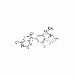 Cc1cc(-n2c(Cl)cc3c(Cl)ncnc32)ccc1[C@H]1CO[C@H](C)CN1C(=O)O